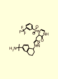 CC(C)(N)c1ccc2c(c1)CCCC2n1cc(CC2C(=O)NC=CN2S(=O)(=O)c2cccc(C(F)(F)F)c2)nn1